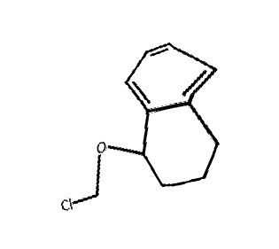 ClCOC1CCCc2ccccc21